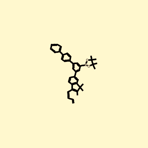 C=C/C=C\C1=C(C)C(C)(C)c2cc(-c3cc(B4OC(C)(C)C(C)(C)O4)cc(-c4ccc(-c5ccccc5)cc4)c3)ccc21